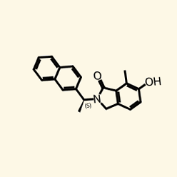 Cc1c(O)ccc2c1C(=O)N([C@@H](C)c1ccc3ccccc3c1)C2